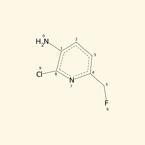 Nc1ccc(CF)nc1Cl